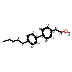 CCCCCc1ccc(-c2ccc(CCOC)cc2)cc1